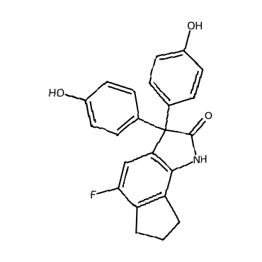 O=C1Nc2c(cc(F)c3c2CCC3)C1(c1ccc(O)cc1)c1ccc(O)cc1